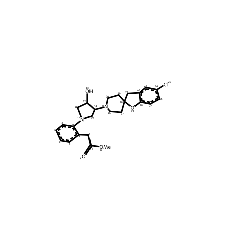 COC(=O)Cc1ccccc1N1CC(O)C(N2CCC3(CC2)Cc2cc(Cl)ccc2O3)C1